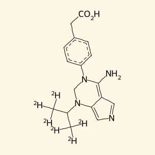 [2H]C([2H])([2H])C(N1CN(c2ccc(CC(=O)O)cc2)C(N)=C2C=NC=C21)C([2H])([2H])[2H]